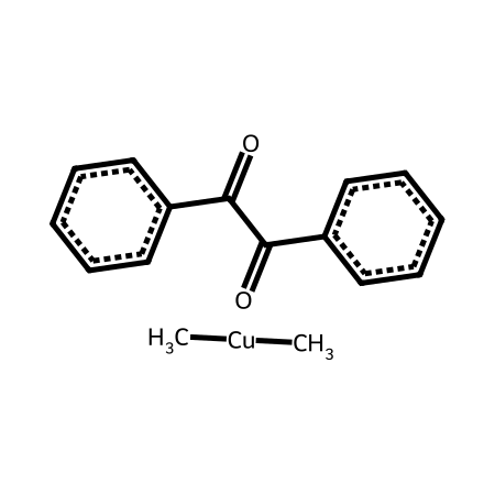 O=C(C(=O)c1ccccc1)c1ccccc1.[CH3][Cu][CH3]